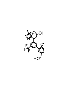 COc1ccc(CO)cc1-c1cc(C(CC(=O)O)c2nnc(C)o2)cc(C(F)(F)F)c1